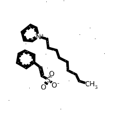 CCCCCCCCC[n+]1ccccc1.O=S(=O)([O-])C=Cc1ccccc1